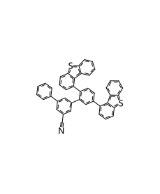 N#Cc1cc(-c2ccccc2)cc(-c2cc(-c3cccc4sc5ccccc5c34)ccc2-c2cccc3sc4ccccc4c23)c1